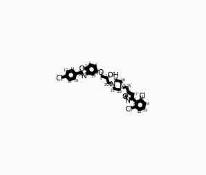 O[C@@H](COc1ccc2oc(-c3ccc(Cl)cc3)nc2c1)CN1CCN(Cc2cc(-c3c(Cl)cccc3Cl)no2)CC1